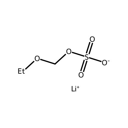 CCOCOS(=O)(=O)[O-].[Li+]